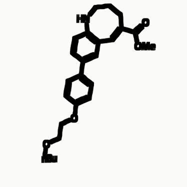 CCCCOCCOc1ccc(-c2ccc3c(c2)C=C(C(=O)OC)CCCN3)cc1